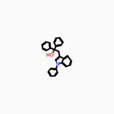 OC(Cc1cn(-c2ccccc2)c2ccccc12)(c1ccccc1)c1ccccc1